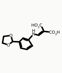 O=C(O)C(=CNc1cccc(C2OCCO2)c1)C(=O)O